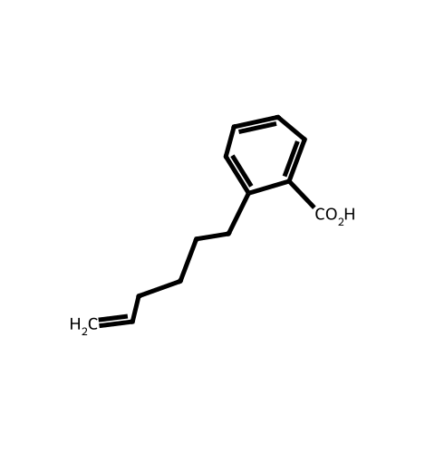 C=CCCCCc1ccccc1C(=O)O